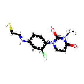 Cn1c(=O)ccn(-c2ccc(N=CC=S)cc2Cl)c1=O